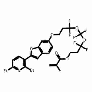 C=C(C)C(=O)OCCC(F)(F)OC(F)(F)OC(F)(F)CCOc1ccc2cc(-c3ccc(CC)nc3CC)oc2c1